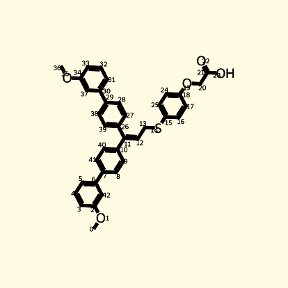 COc1cccc(-c2ccc(C(=CCSc3ccc(OCC(=O)O)cc3)c3ccc(-c4cccc(OC)c4)cc3)cc2)c1